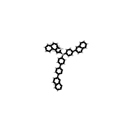 c1ccc2cc(-c3ccc(-c4ccc(N(c5ccc(-c6ccc7ccccc7c6)cc5)c5cc6c(ccc7ccccc76)s5)cc4)cc3)ccc2c1